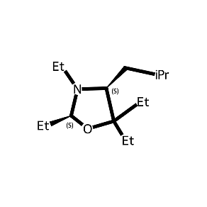 CC[C@@H]1OC(CC)(CC)[C@H](CC(C)C)N1CC